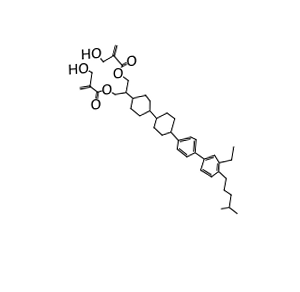 C=C(CO)C(=O)OCC(COC(=O)C(=C)CO)C1CCC(C2CCC(c3ccc(-c4ccc(CCCC(C)C)c(CC)c4)cc3)CC2)CC1